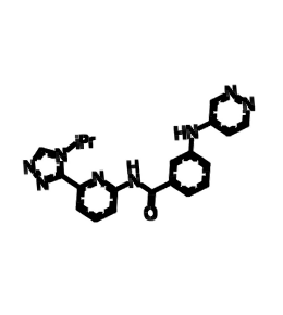 CC(C)n1cnnc1-c1cccc(NC(=O)c2cccc(Nc3ccnnc3)c2)n1